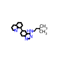 CC(C)CCNc1ncnc2ccc(-c3cccc4cccnc34)cc12